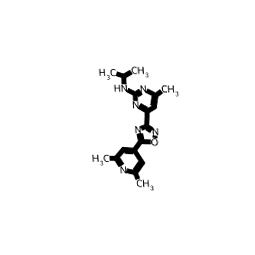 Cc1cc(-c2nc(-c3cc(C)nc(NC(C)C)n3)no2)cc(C)n1